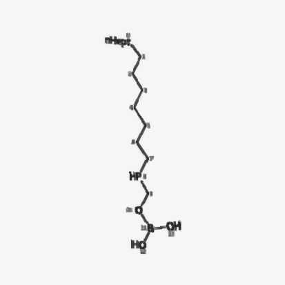 CCCCCCCCCCCCCCPCOB(O)O